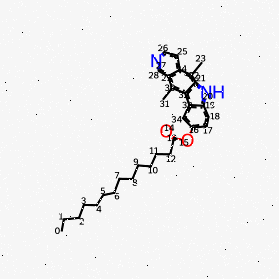 CCCCCCCCCCCCCC(=O)Oc1ccc2[nH]c3c(C)c4ccncc4c(C)c3c2c1